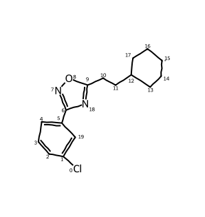 Clc1cccc(-c2noc(CCC3CC[CH]CC3)n2)c1